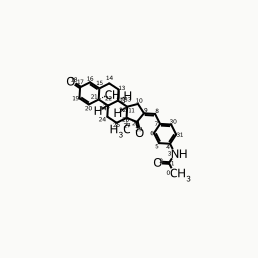 CC(=O)Nc1ccc(C=C2C[C@H]3[C@@H]4CCC5=CC(=O)C=C[C@]5(C)[C@H]4CC[C@]3(C)C2=O)cc1